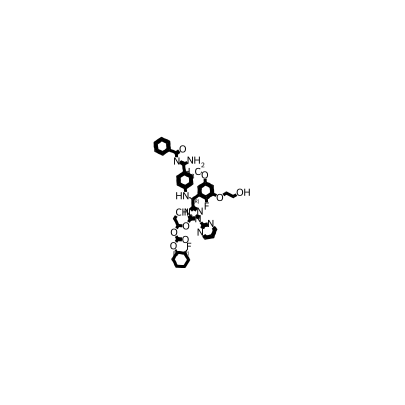 CCC(OC(=O)O[C@@H]1CCCC[C@H]1F)Oc1nc([C@H](Nc2ccc(C(N)=NC(=O)c3ccccc3)cc2)c2cc(OC)cc(OCCO)c2F)nn1-c1ncccn1